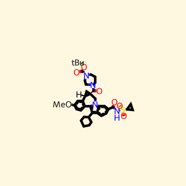 COc1ccc2c(c1)[C@@H]1C[C@]1(C(=O)N1CCCN(C(=O)OC(C)(C)C)CC1)Cn1c-2c(C2CCCCC2)c2ccc(C(=O)NS(=O)(=O)C3CC3)cc21